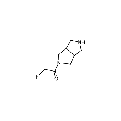 O=C(CF)N1CC2CNCC2C1